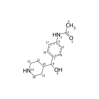 CC(=O)Nc1ccc(C(O)C2CCNCC2)cc1